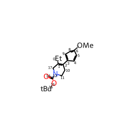 CCC1=C(c2ccc(OC)cc2)CCN(C(=O)OC(C)(C)C)C1